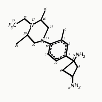 Cc1cc(C2(N)CC(N)C2)ccc1N1CC(C)N(CC(F)(F)F)C(C)C1